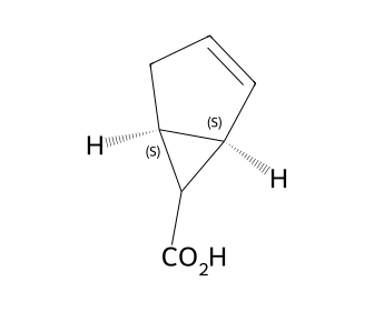 O=C(O)C1[C@H]2CC=C[C@@H]12